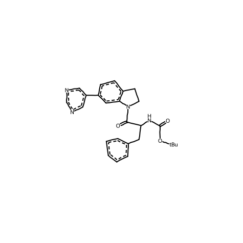 CC(C)(C)OC(=O)NC(Cc1ccccc1)C(=O)N1CCc2ccc(-c3cncnc3)cc21